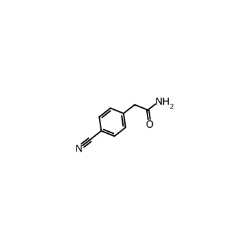 N#Cc1ccc(CC(N)=O)cc1